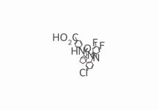 O=C(O)c1ccc(NC(=O)C(C2C3CCC2CC3)n2c(-c3ccc(Cl)cc3)nc3cc(F)c(F)cc32)cc1